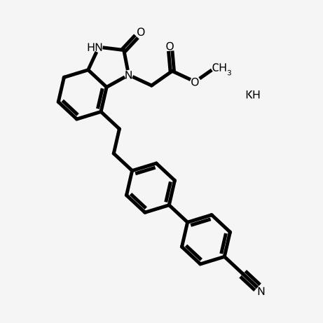 COC(=O)CN1C(=O)NC2CC=CC(CCc3ccc(-c4ccc(C#N)cc4)cc3)=C21.[KH]